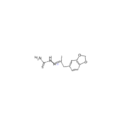 C/C(Cc1ccc2c(c1)OCO2)=N\NC(N)=S